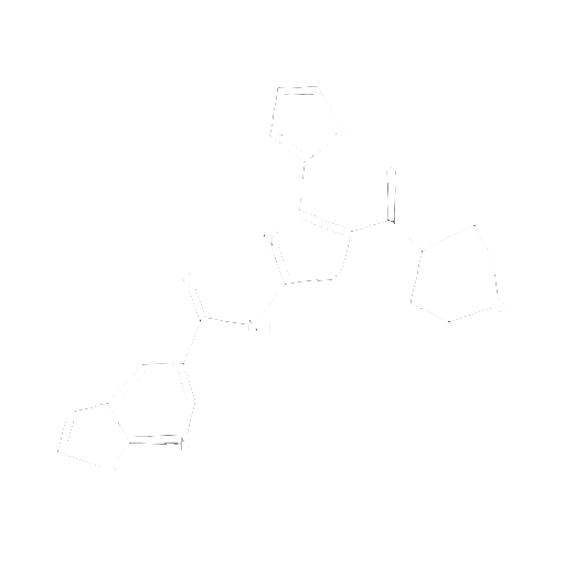 O=C(Nc1nc(-c2ccco2)c(C(=O)C2CCOCC2)s1)c1cnc2occc2c1